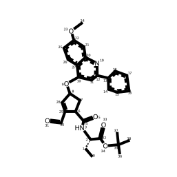 CC[C@H](NC(=O)C1CC(Oc2cc(-c3ccccc3)nc3cc(OC)ccc23)C=C1C=O)C(=O)OC(C)(C)C